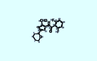 O=Cc1nn(C2CCCCO2)cc1NC(=O)c1c(F)cccc1F